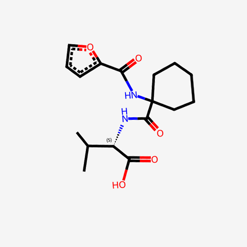 CC(C)[C@H](NC(=O)C1(NC(=O)c2ccco2)CCCCC1)C(=O)O